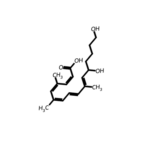 CC(=CC=CC(C)=CC(O)CCCCO)C=C(C)C=CC(=O)O